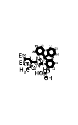 CCC(CC)CC(c1ncn(C(c2ccccc2)(c2ccccc2)c2ccccc2)n1)S(C)(=O)=O.O=[PH](O)O